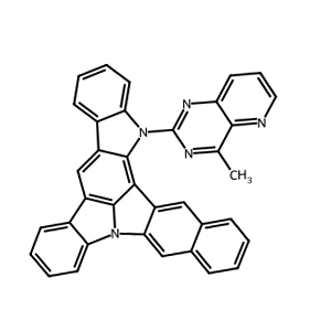 Cc1nc(-n2c3ccccc3c3cc4c5ccccc5n5c6cc7ccccc7cc6c(c32)c45)nc2cccnc12